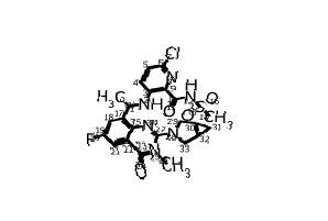 C[C@@H](Nc1ccc(Cl)nc1C(=O)NS(C)(=O)=O)c1cc(F)cc2c(=O)n(C)c(N3CC4CC4C3)nc12